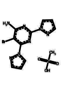 CS(=O)(=O)O.Nc1nc(-n2cccn2)nc(-n2cccn2)c1Br